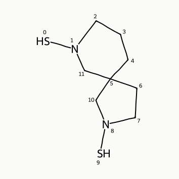 SN1CCCC2(CCN(S)C2)C1